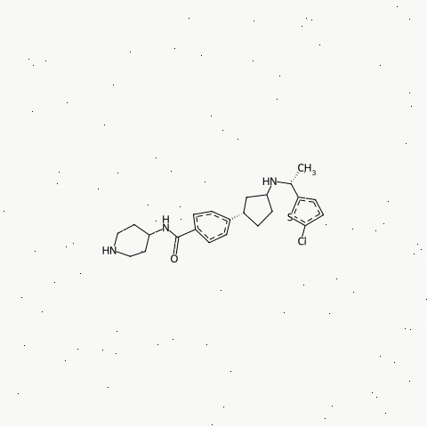 C[C@@H](NC1CC[C@H](c2ccc(C(=O)NC3CCNCC3)cc2)C1)c1ccc(Cl)s1